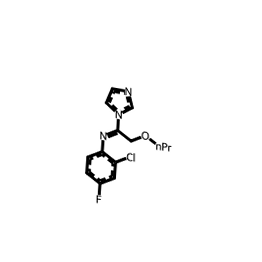 CCCOC/C(=N\c1ccc(F)cc1Cl)n1ccnc1